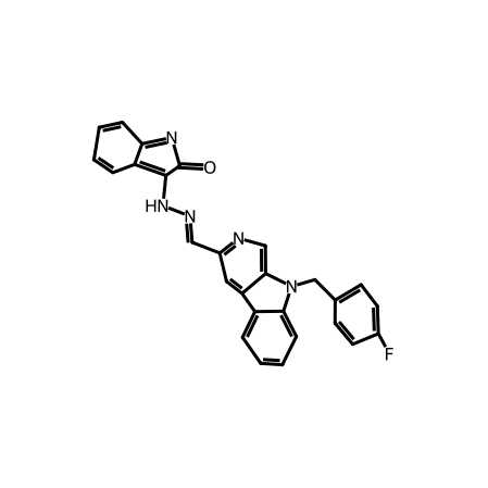 O=C1N=c2ccccc2=C1NN=Cc1cc2c3ccccc3n(Cc3ccc(F)cc3)c2cn1